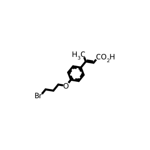 C/C(=C\C(=O)O)c1ccc(OCCCBr)cc1